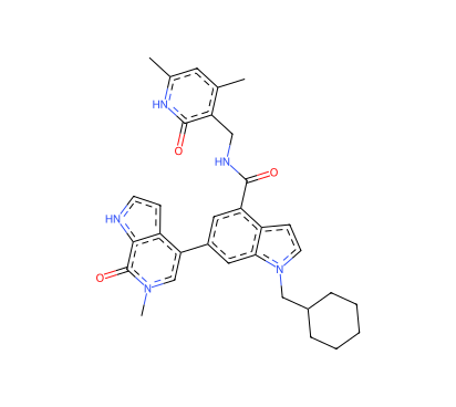 Cc1cc(C)c(CNC(=O)c2cc(-c3cn(C)c(=O)c4[nH]ccc34)cc3c2ccn3CC2CCCCC2)c(=O)[nH]1